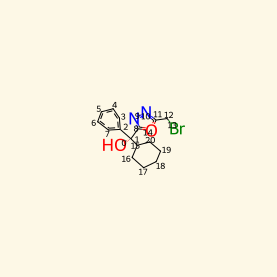 O[C@](c1ccccc1)(c1nnc(CBr)o1)C1CCCCC1